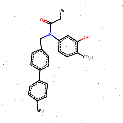 CCCCc1ccc(-c2ccc(CN(C(=O)CC(C)(C)C)c3ccc(C(=O)O)c(O)c3)cc2)cc1